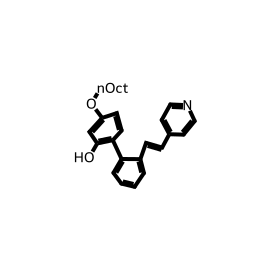 CCCCCCCCOc1ccc(-c2ccccc2C=Cc2ccncc2)c(O)c1